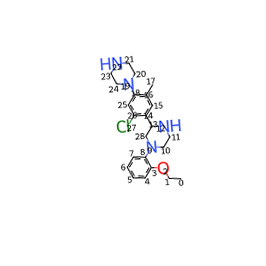 CCOc1ccccc1N1CCNC(c2cc(C)c(N3CCNCC3)cc2Cl)C1